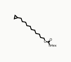 CCCCCCC(=O)OCCCCCCCCCCCC1CC1